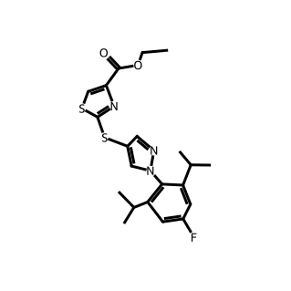 CCOC(=O)c1csc(Sc2cnn(-c3c(C(C)C)cc(F)cc3C(C)C)c2)n1